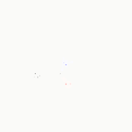 COC(=O)N1CCC2=C=CC=C21